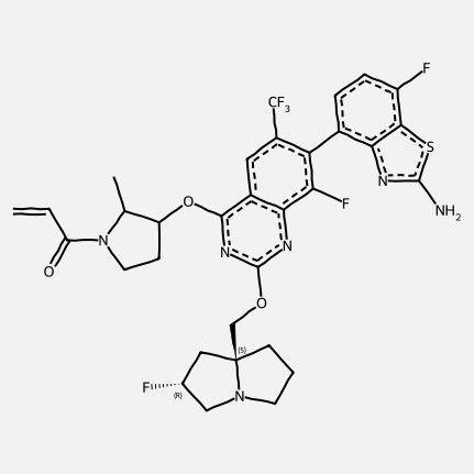 C=CC(=O)N1CCC(Oc2nc(OC[C@@]34CCCN3C[C@H](F)C4)nc3c(F)c(-c4ccc(F)c5sc(N)nc45)c(C(F)(F)F)cc23)C1C